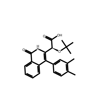 Cc1ccc(-c2c([C@H](OC(C)(C)C)C(=O)O)[nH]c(=O)c3ccccc23)cc1C